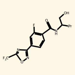 CC(C)C(CO)NC(=O)c1ccc(-c2noc(C(F)(F)F)n2)cc1F